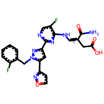 NC(=O)/C(=C\Nc1nc(-c2cc(-c3ccon3)n(Cc3ccccc3F)n2)ncc1F)CC(=O)O